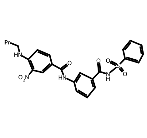 CC(C)CNc1ccc(C(=O)Nc2cccc(C(=O)NS(=O)(=O)c3ccccc3)c2)cc1[N+](=O)[O-]